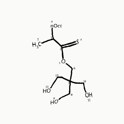 CCCCCCCCC(C)C(=S)OCC(CO)(CO)CO